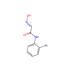 CCc1ccccc1NC(=O)/C=N/O